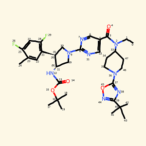 CCN(C(=O)c1cnc(N2C[C@H](NC(=O)OC(C)(C)C)[C@@H](c3cc(C)c(F)cc3F)C2)nc1)C1CCN(c2nc(C(C)(C)C)no2)CC1